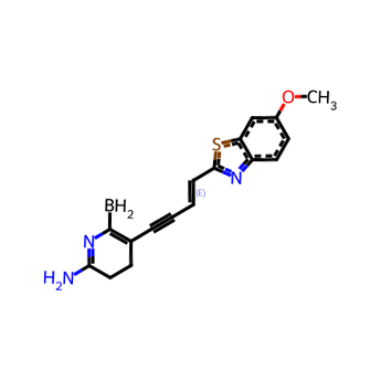 BC1=C(C#C/C=C/c2nc3ccc(OC)cc3s2)CCC(N)=N1